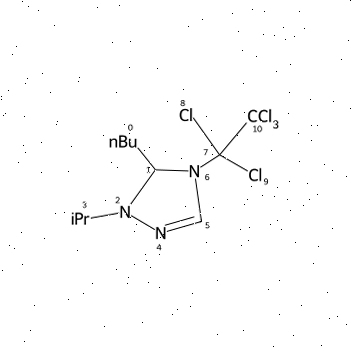 CCCCC1N(C(C)C)N=CN1C(Cl)(Cl)C(Cl)(Cl)Cl